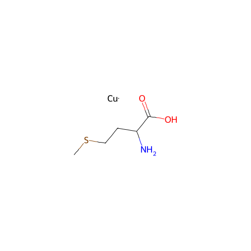 CSCCC(N)C(=O)O.[Cu]